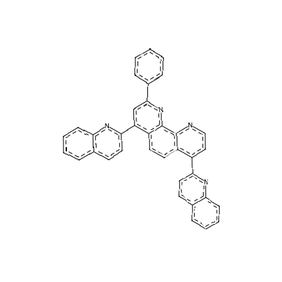 c1ccc(-c2cc(-c3ccc4ccccc4n3)c3ccc4c(-c5ccc6ccccc6n5)ccnc4c3n2)cc1